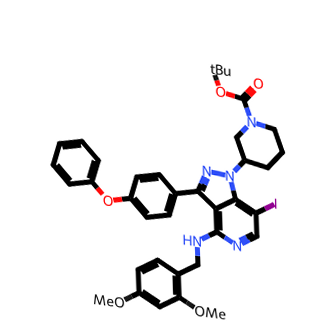 COc1ccc(CNc2ncc(I)c3c2c(-c2ccc(Oc4ccccc4)cc2)nn3C2CCCN(C(=O)OC(C)(C)C)C2)c(OC)c1